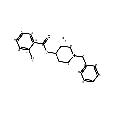 Cl.O=C(OC1CCN(Cc2ccccc2)CC1)c1ccccc1Cl